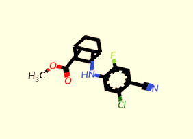 COC(=O)C1C2CCC(CC2)C1Nc1cc(Cl)c(C#N)cc1F